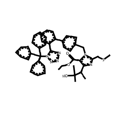 CCOC(=O)c1c(C(C)C(C)(C)O)nc(CSC)n1Cc1ccc(-c2ccccc2-c2nnnn2C(c2ccccc2)(c2ccccc2)c2ccccc2)cc1